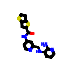 Nc1ncccc1NCc1cc(NC(=O)c2cc3sccc3s2)ccn1